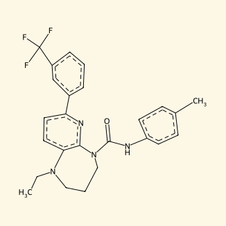 CCN1CCCN(C(=O)Nc2ccc(C)cc2)c2nc(-c3cccc(C(F)(F)F)c3)ccc21